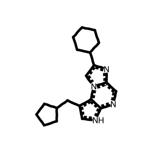 c1[nH]c2ncc3nc(C4CCCCC4)cn3c2c1CC1CCCC1